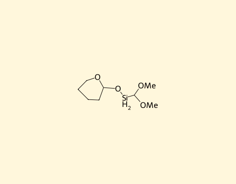 COC(OC)[SiH2]OC1CCCCO1